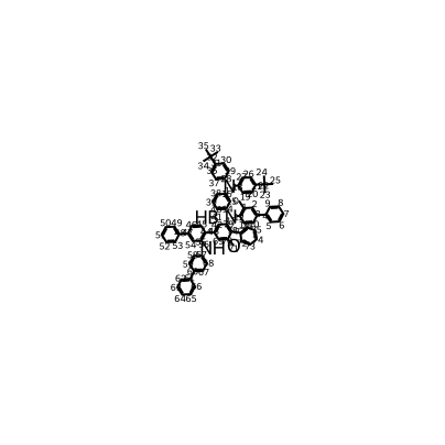 Cc1cc(-c2ccccc2)ccc1N1c2cc(N(c3ccc(C(C)(C)C)cc3)c3ccc(C(C)(C)C)cc3)ccc2Bc2c(-c3ccc(-c4ccccc4)cc3Nc3ccc(-c4ccccc4)cc3)cc3oc4ccccc4c3c21